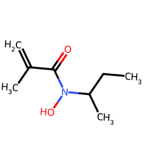 C=C(C)C(=O)N(O)C(C)CC